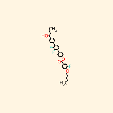 C=CCCCOc1ccc(C(=O)Oc2ccc(-c3ccc(-c4ccc(C(O)CCC)cc4)c(F)c3F)cc2)cc1F